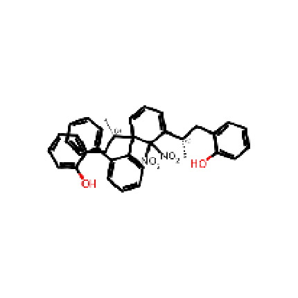 C[C@@H](Cc1ccccc1O)C1=CC=CC(c2ccccc2-c2ccccc2)([C@@H](C)Cc2ccccc2O)C1([N+](=O)[O-])[N+](=O)[O-]